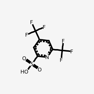 O=S(=O)(O)c1cc(C(F)(F)F)cc(C(F)(F)F)n1